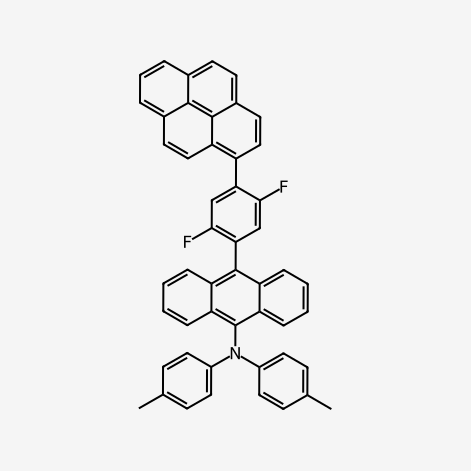 Cc1ccc(N(c2ccc(C)cc2)c2c3ccccc3c(-c3cc(F)c(-c4ccc5ccc6cccc7ccc4c5c67)cc3F)c3ccccc23)cc1